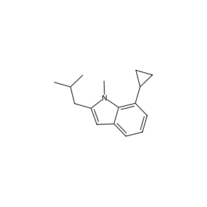 CC(C)Cc1cc2cccc(C3CC3)c2n1C